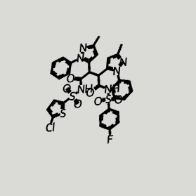 Cc1cc(C(C(=O)NS(=O)(=O)c2ccc(F)cc2)C(C(=O)NS(=O)(=O)c2ccc(Cl)s2)c2cc(C)nn2-c2ccccc2)n(-c2ccccc2)n1